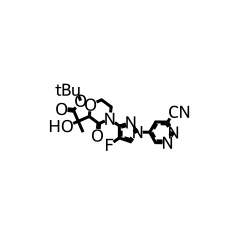 CC(C)(C)OC(=O)C(C)(O)C1OCCN(c2nn(-c3cnnc(C#N)c3)cc2F)C1=O